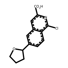 O=C(O)c1cc2cc(C3CCCO3)ccc2c(Cl)n1